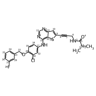 CN(C)C(=O)NCC#Cc1cc2ncnc(Nc3ccc(OCc4cccc(F)c4)c(Cl)c3)c2s1